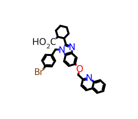 O=C(O)C1CCCCC1c1nc2cc(OCc3ccc4ccccc4n3)ccc2n1Cc1ccc(Br)cc1